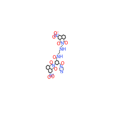 CN1CCN(C(=O)c2cc(C(=O)NCCCNCCN3C(=O)c4cccc5cc([N+](=O)[O-])cc(c45)C3=O)cc(N3C(=O)c4cccc5cc([N+](=O)[O-])cc(c45)C3=O)c2)CC1